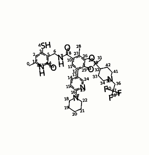 Cc1cc(S)c(CNC(=O)c2cc(-c3ccc(N4CCCCC4)nc3)c3c(c2C)OC(C)(C2CCN(CC(F)(F)F)CC2)O3)c(=O)[nH]1